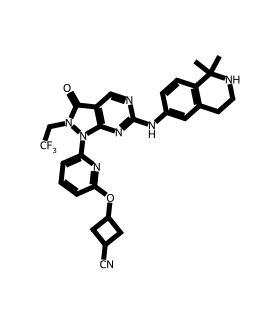 CC1(C)NCCc2cc(Nc3ncc4c(=O)n(CC(F)(F)F)n(-c5cccc(OC6CC(C#N)C6)n5)c4n3)ccc21